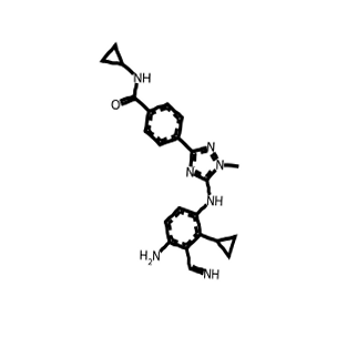 Cn1nc(-c2ccc(C(=O)NC3CC3)cc2)nc1Nc1ccc(N)c(C=N)c1C1CC1